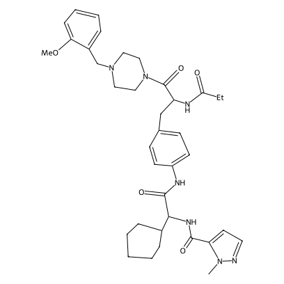 CCC(=O)NC(Cc1ccc(NC(=O)C(NC(=O)c2ccnn2C)C2CCCCC2)cc1)C(=O)N1CCN(Cc2ccccc2OC)CC1